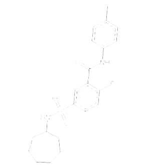 Cc1ccc(NC(=O)c2cc(S(=O)(=O)NC3CCCCCC3)ccc2F)cc1